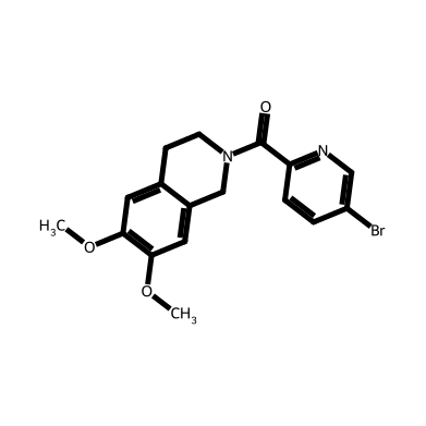 COc1cc2c(cc1OC)CN(C(=O)c1ccc(Br)cn1)CC2